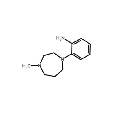 CN1CCCN(c2ccccc2N)CC1